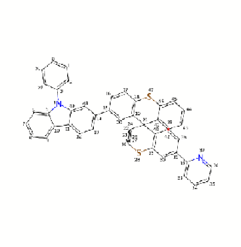 c1ccc(-n2c3ccccc3c3ccc(-c4ccc5c(c4)C4(c6ccccc6Sc6cc(-c7ccccn7)ccc64)c4ccccc4S5)cc32)cc1